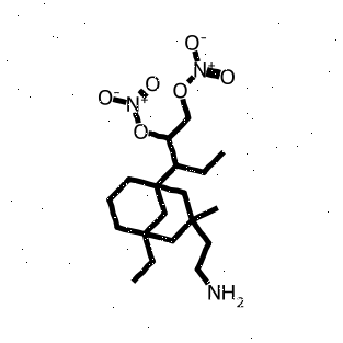 CCC(C(CO[N+](=O)[O-])O[N+](=O)[O-])C12CCCC(CC)(CC(C)(CCN)C1)C2